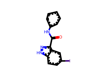 O=C(Nc1ccccc1)c1n[nH]c2ccc(I)cc12